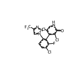 O=c1[nH]cc(Cl)c(-c2c(-n3cc(C(F)(F)F)nn3)ccc(Cl)c2F)c1Cl